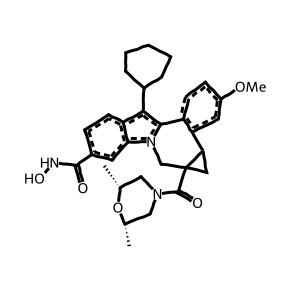 COc1ccc2c(c1)C1CC1(C(=O)N1C[C@@H](C)O[C@@H](C)C1)Cn1c-2c(C2CCCCC2)c2ccc(C(=O)NO)cc21